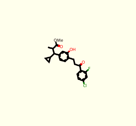 COC(=O)C(C)C(c1ccc(CCC(=O)c2ccc(Cl)cc2F)c(O)c1)C1CC1